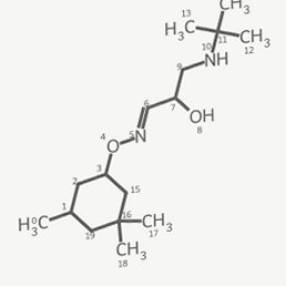 CC1CC(ON=CC(O)CNC(C)(C)C)CC(C)(C)C1